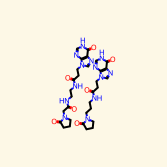 O=C(CCn1cnc2c(=O)[nH]cnc21)NCCCN1CCCC1=O.O=C(CCn1cnc2c(=O)[nH]cnc21)NCCNC(=O)CN1CCCC1=O